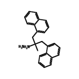 CC(N)(Cc1cccc2ccccc12)Cc1cccc2ccccc12.N